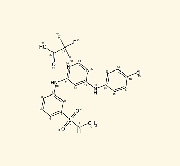 CNS(=O)(=O)c1cccc(Nc2cc(Nc3ccc(Cl)cc3)ncn2)c1.O=C(O)C(F)(F)F